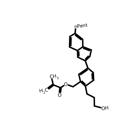 C=C(C)C(=O)OCc1cc(-c2ccc3cc(CCCCC)ccc3c2)ccc1CCCO